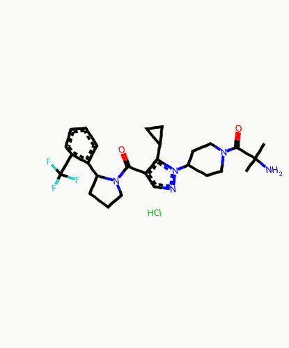 CC(C)(N)C(=O)N1CCC(n2ncc(C(=O)N3CCCC3c3ccccc3C(F)(F)F)c2C2CC2)CC1.Cl